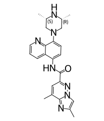 Cc1cn2nc(C(=O)Nc3ccc(N4C[C@@H](C)N[C@@H](C)C4)c4ncccc34)cc(C)c2n1